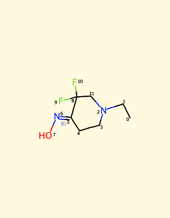 CCN1CC/C(=N\O)C(F)(F)C1